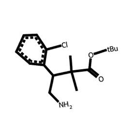 CC(C)(C)OC(=O)C(C)(C)C(CN)c1ccccc1Cl